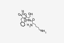 C[C@@H](O)[C@H](NC(=O)[C@@H](N)CCCCN)C(=O)N[C@@H](Cc1ccccc1)C(=O)O